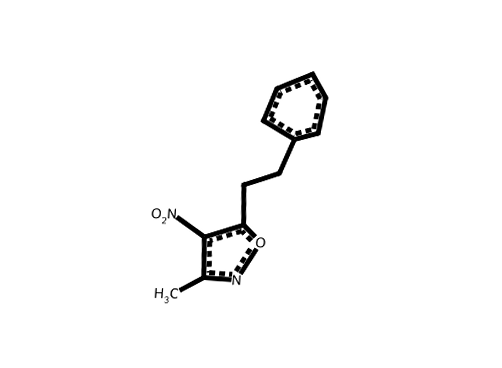 Cc1noc(CCc2ccccc2)c1[N+](=O)[O-]